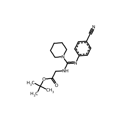 CC(C)(C)OC(=O)CNC(=Nc1ccc(C#N)cc1)N1CCCCC1